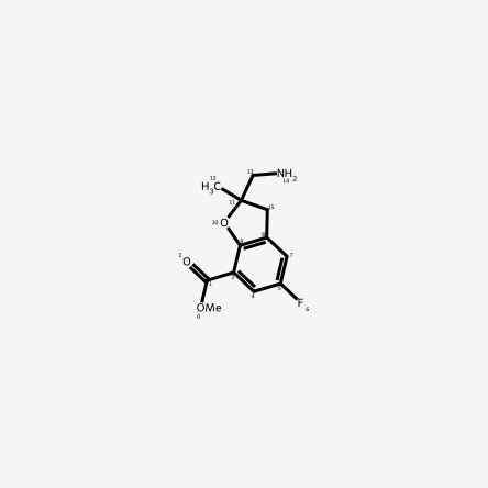 COC(=O)c1cc(F)cc2c1OC(C)(CN)C2